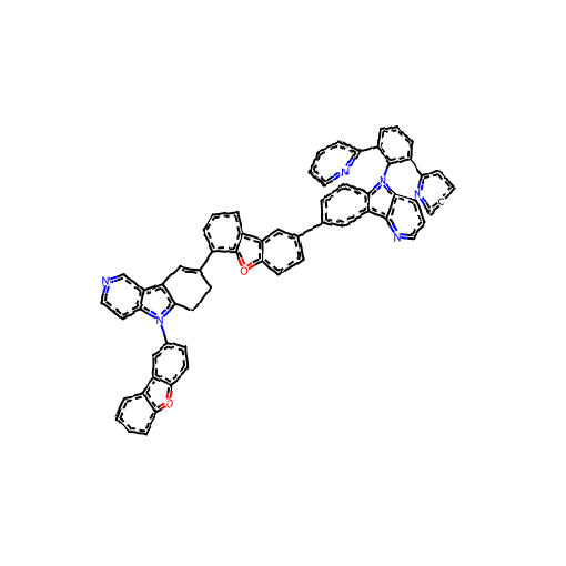 C1=C(c2cccc3c2oc2ccc(-c4ccc5c(c4)c4ncccc4n5-c4c(-c5ccccn5)cccc4-c4ccccn4)cc23)CCc2c1c1cnccc1n2-c1ccc2oc3ccccc3c2c1